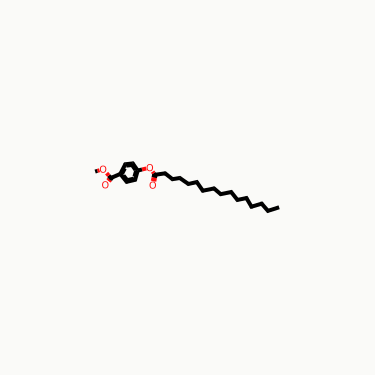 CCCCCCCCCCCCCCCC(=O)Oc1ccc(C(=O)OC)cc1